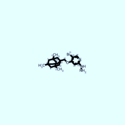 CC12CC3(C)CC(C)(C1)CC(COc1cc(NN)ncc1Br)(C2)C3